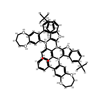 Cc1cc2c3c(c1)N(c1cc4c(cc1-c1ccccc1)OCCCO4)c1c(oc4ccc(C(C)(C)C)cc14)B3c1oc3ccc(C(C)(C)C)cc3c1N2c1cc2c(cc1-c1ccccc1)OCCCO2